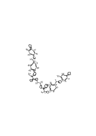 CC(Oc1ccc(COc2ccc(Cl)cc2)cc1)C(=O)OCCOC(=O)C(C)Oc1ccc(COc2ccc(Cl)cc2)cc1